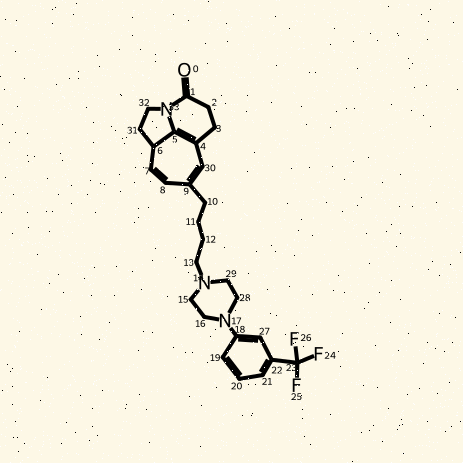 O=C1CCC2=C3C(C=CC(CCCCN4CCN(c5cccc(C(F)(F)F)c5)CC4)=C2)CCN13